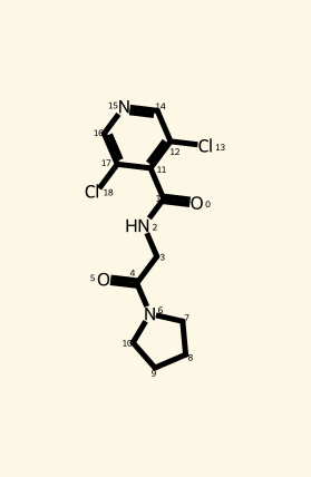 O=C(NCC(=O)N1CCCC1)c1c(Cl)cncc1Cl